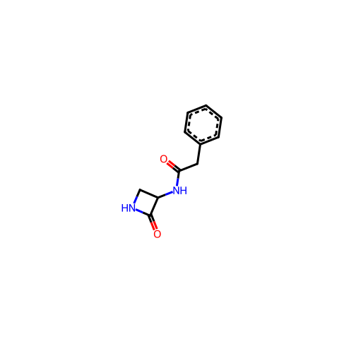 O=C(Cc1ccccc1)NC1CNC1=O